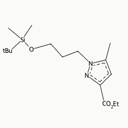 CCOC(=O)c1cc(C)n(CCCO[Si](C)(C)C(C)(C)C)n1